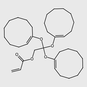 C=CC(=O)OCC(OC1=CCCCCCCCC1)(OC1=CCCCCCCCC1)OC1=CCCCCCCCC1